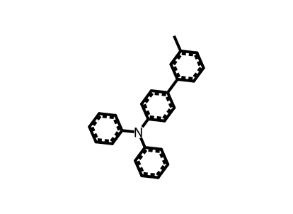 Cc1cccc(-c2ccc(N(c3ccccc3)c3ccccc3)cc2)c1